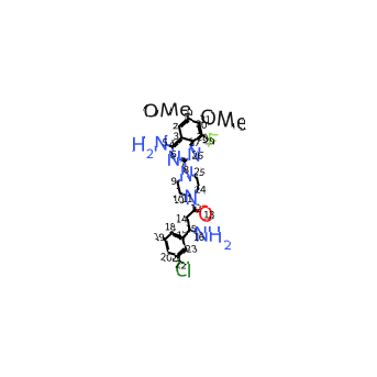 COc1cc2c(N)nc(N3CCN(C(=O)C[C@@H](N)c4cccc(Cl)c4)CC3)nc2c(F)c1OC